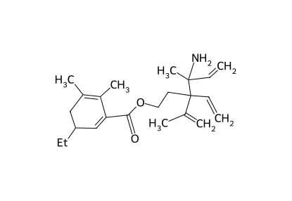 C=CC(C)(N)C(C=C)(CCOC(=O)C1=CC(CC)CC(C)=C1C)C(=C)C